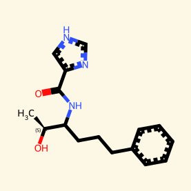 C[C@H](O)C(CCCc1ccccc1)NC(=O)c1c[nH]cn1